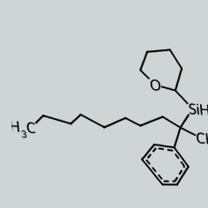 CCCCCCCCC(C)([SiH2]C1CCCCO1)c1ccccc1